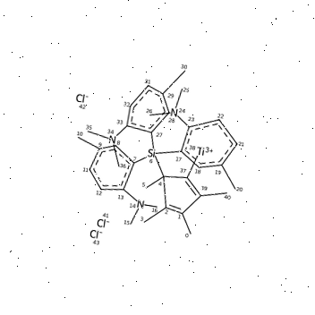 CC1=C(C)C(C)([Si](c2cc(C)ccc2N(C)C)(c2cc(C)ccc2N(C)C)c2cc(C)ccc2N(C)C)[C]([Ti+3])=C1C.[Cl-].[Cl-].[Cl-]